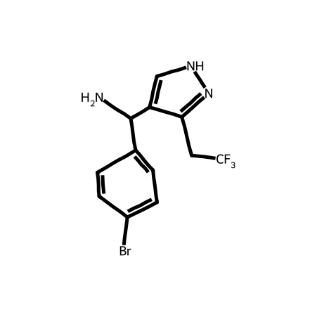 NC(c1ccc(Br)cc1)c1c[nH]nc1CC(F)(F)F